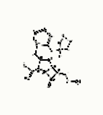 C[N+]1(Cc2ccccc2SC2SC3[C@@H](CCO)C(=O)N3C2C(=O)[O-])CCCC1